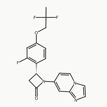 CC(F)(F)COc1ccc([C@H]2CC(=O)N2c2ccn3ccnc3c2)c(F)c1